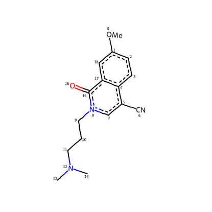 COc1ccc2c(C#N)cn(CCCN(C)C)c(=O)c2c1